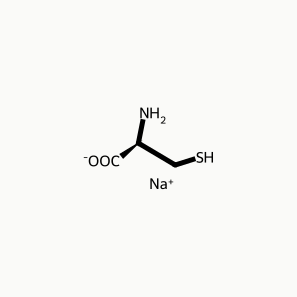 N[C@@H](CS)C(=O)[O-].[Na+]